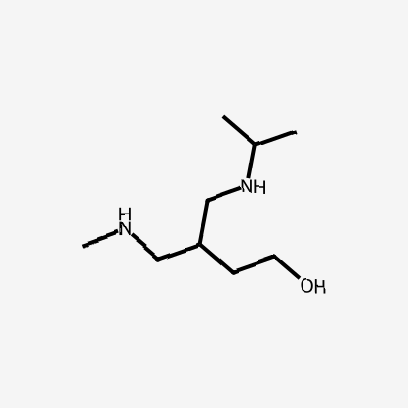 CNCC(CCO)CNC(C)C